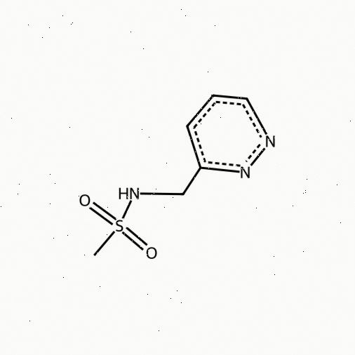 CS(=O)(=O)NCc1cccnn1